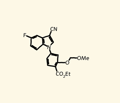 CCOC(=O)c1ccc(-n2cc(C#N)c3cc(F)ccc32)cc1OCOC